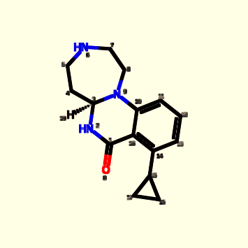 O=C1N[C@H]2CCNCCN2c2cccc(C3CC3)c21